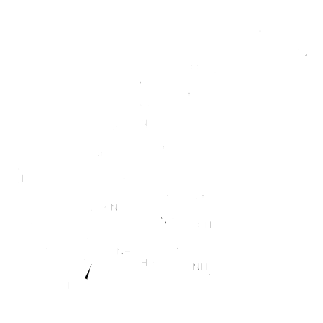 C[C@H](Nc1nc2c(c(=O)n1C(C)(C)N)CN(C(=O)COc1ccc(Cl)cc1)CC2)c1ccc(Cl)cc1